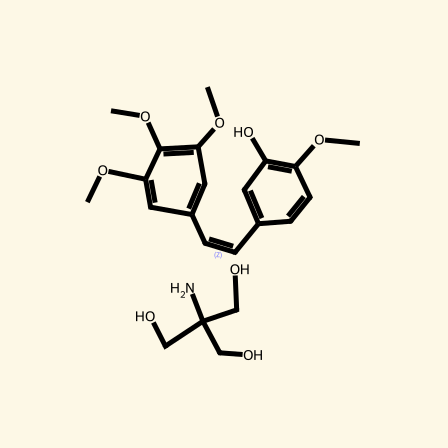 COc1ccc(/C=C\c2cc(OC)c(OC)c(OC)c2)cc1O.NC(CO)(CO)CO